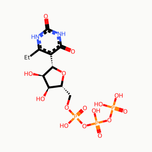 CCc1[nH]c(=O)[nH]c(=O)c1[C@@H]1O[C@H](COP(=O)(O)OP(=O)(O)OP(=O)(O)O)[C@@H](O)[C@H]1O